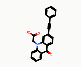 O=C(O)Cn1c2ccccc2c(=O)c2ccc(C#Cc3ccccc3)cc21